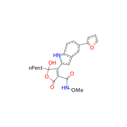 CCCCCC1(O)OC(=O)C(C(=O)NOC)=C1c1cc2cc(-c3ccco3)ccc2[nH]1